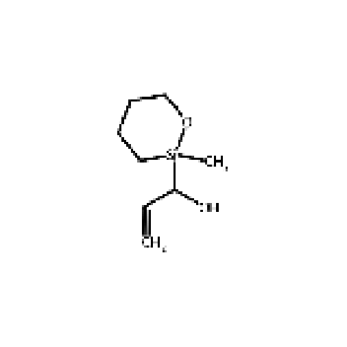 C=CC(O)[Si]1(C)CCCCO1